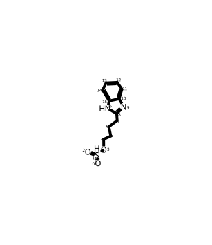 O=[SH](=O)OCCCCc1nc2ccccc2[nH]1